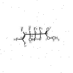 COC(=O)C(F)(F)C(F)(F)C(O)(F)C(F)=C(F)F